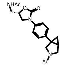 CC(=O)NC[C@H]1CN(c2ccc(C34CC3CN(C(C)=O)C4)cc2)C(=O)O1